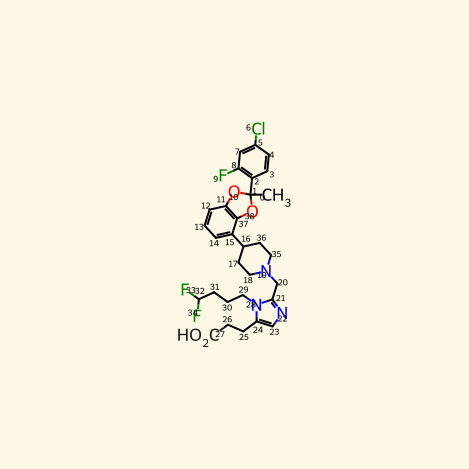 CC1(c2ccc(Cl)cc2F)Oc2cccc(C3CCN(Cc4ncc(CCC(=O)O)n4CCCC(F)F)CC3)c2O1